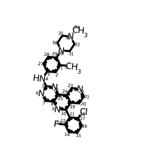 Cc1cc(Nc2ncc3nc(-c4c(F)cccc4Cl)c4ccncc4c3n2)ccc1N1CCN(C)CC1